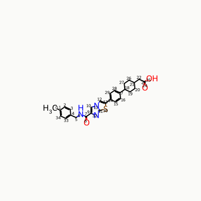 Cc1ccc(CNC(=O)c2cn3cc(-c4ccc(C5CCC(CC(=O)O)CC5)cc4)sc3n2)cc1